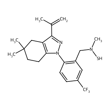 C=C(C)c1nn(-c2ccc(C(F)(F)F)cc2CN(C)S)c2c1CC(C)(C)CC2